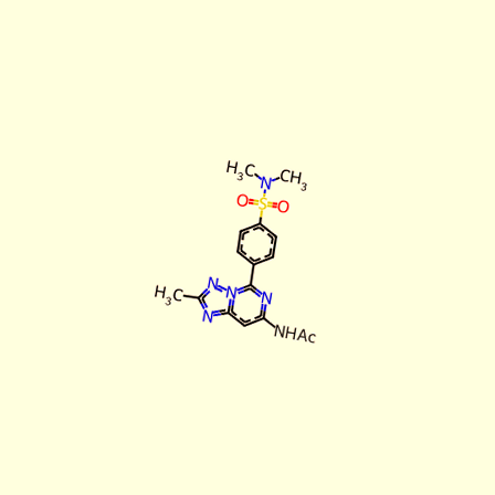 CC(=O)Nc1cc2nc(C)nn2c(-c2ccc(S(=O)(=O)N(C)C)cc2)n1